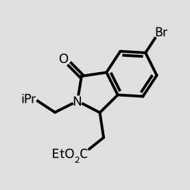 CCOC(=O)CC1c2ccc(Br)cc2C(=O)N1CC(C)C